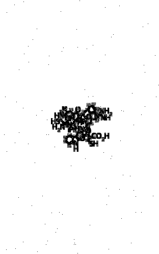 CC(C)C[C@@H](NC(=O)[C@@H](N)CS)C(=O)N[C@@H](Cc1c[nH]cn1)C(=O)N[C@H](Cc1ccccc1)C(=O)N[C@@H](CCCNC(=N)N)C(=O)N[C@@H](Cc1c[nH]c2ccccc12)C(=O)N[C@@H](CS)C(=O)O